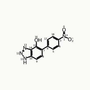 O=[N+]([O-])c1ccc(-c2ccc3[nH]nnc3c2O)cc1